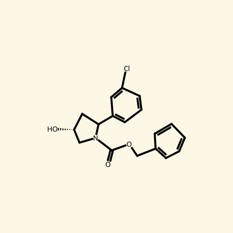 O=C(OCc1ccccc1)N1C[C@H](O)CC1c1cccc(Cl)c1